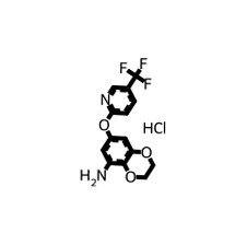 Cl.Nc1cc(Oc2ccc(C(F)(F)F)cn2)cc2c1OCCO2